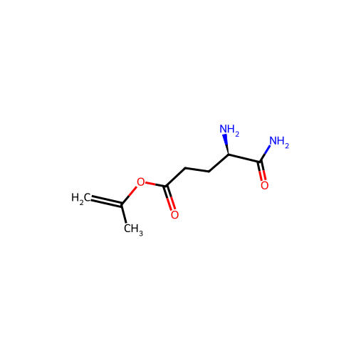 C=C(C)OC(=O)CC[C@@H](N)C(N)=O